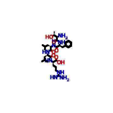 CC(C)C[C@H](NC(=O)[C@H](CC(C)C)NC(=O)[C@H](Cc1ccccc1)NC(=O)[C@@H](N)[C@@H](C)O)C(=O)N[C@@H](CCCNC(=N)N)C(=O)O